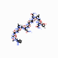 CC(=O)NC(Cc1c[nH]c2ccccc12)C(=O)NC(C)C(=O)NC(C)(C)C(=O)NC(C)(C)C(=O)NC(CC(C)C)C(=O)NC(C)(C)C(=O)NC(CCC(N)=O)C(=O)NC(C)(C)C(=O)NC(C)(C)C(=O)NC(C)(C)C(=O)NC(CCC(N)=O)C(=O)NC(CC(C)C)C(=O)NC(C)(C)C(=O)NC(CCC(N)=O)C(=O)NC(CO)CC(C)C